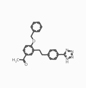 CC(=O)c1ccc(OCc2ccccc2)c(CCc2ccc(-c3nnn[nH]3)cc2)c1